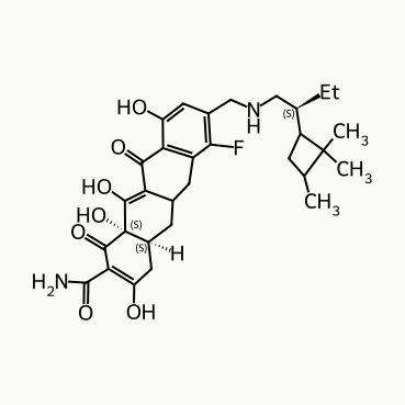 CC[C@H](CNCc1cc(O)c2c(c1F)CC1C[C@H]3CC(O)=C(C(N)=O)C(=O)[C@@]3(O)C(O)=C1C2=O)C1CC(C)C1(C)C